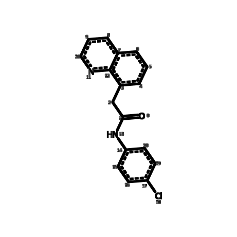 O=C(Cc1cccc2cccnc12)Nc1ccc(Cl)cc1